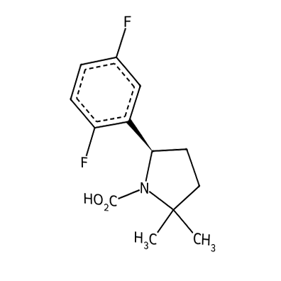 CC1(C)CC[C@H](c2cc(F)ccc2F)N1C(=O)O